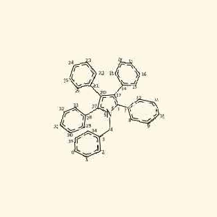 c1ccc(Cn2c(-c3ccccc3)c(-c3ccccc3)c(-c3ccccc3)c2-c2ccccc2)cc1